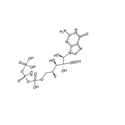 C#C[C@@](O)([C@H](O)[C@@H](F)COP(=O)(O)OP(=O)(O)OP(=O)(O)O)[C@@H](O)n1cnc2c(=O)[nH]c(N)nc21